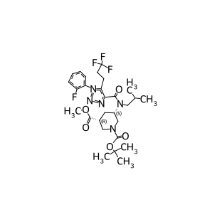 COC(=O)[C@@H]1C[C@H](N(CC(C)C)C(=O)c2nnn(-c3ccccc3F)c2CCC(F)(F)F)CN(C(=O)OC(C)(C)C)C1